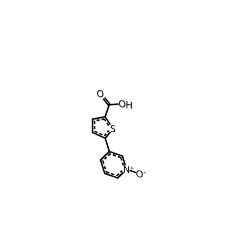 O=C(O)c1ccc(-c2ccc[n+]([O-])c2)s1